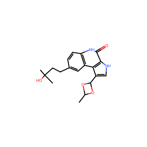 CC1OC(c2c[nH]c3c(=O)[nH]c4ccc(CCC(C)(C)O)cc4c23)O1